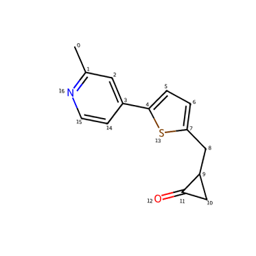 Cc1cc(-c2ccc(CC3CC3=O)s2)ccn1